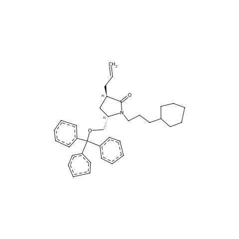 C=CC[C@@H]1C[C@@H](COC(c2ccccc2)(c2ccccc2)c2ccccc2)N(CCCC2CCCCC2)C1=O